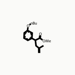 C=C(C)CC(C(=O)OC)c1cccc(OCCCC)c1